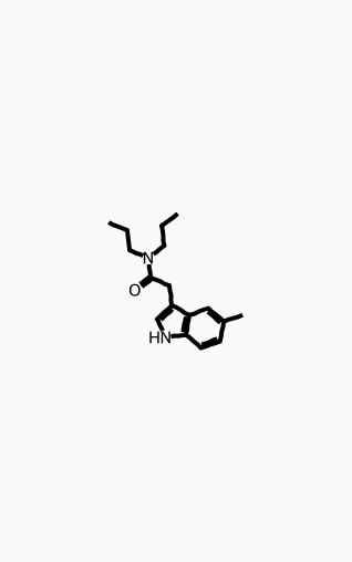 CCCN(CCC)C(=O)Cc1c[nH]c2ccc(C)cc12